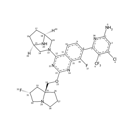 Nc1cc(Cl)c(C(F)(F)F)c(-c2ccc3c(N4C[C@H]5CC[C@@H](C4)N5)nc(OC[C@@]45CCCN4C[C@H](F)C5)nc3c2F)n1